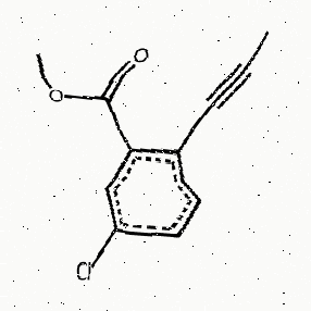 CC#Cc1ccc(Cl)cc1C(=O)OC